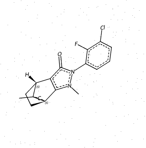 Cn1c2c(c(=O)n1-c1cccc(Cl)c1F)[C@H]1CC[C@@]23CC13C